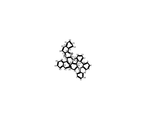 c1ccc(-n2c3ccccc3c3cccc4c3c3c2cccc3n4-c2nc3c(ccc4ccccc43)nc2-c2cccc3ccccc23)cc1